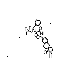 O=C(NC1Oc2ccccc2CN(CC(F)(F)F)C1=O)c1ccc2c(c1)CCC1(CCNC1=O)C2